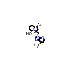 CC(=O)CCC(Cn1cnc2c(C)ccnc21)(C(=O)O)N1CCCCC1